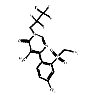 CCS(=O)(=O)c1cc(C)ccc1-c1ncn(CC(F)(F)C(F)(F)F)c(=O)c1C